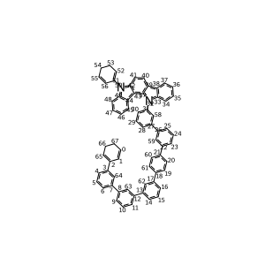 C1=CC(c2cccc(-c3cccc(-c4cccc(-c5ccc(-c6cccc(-c7cccc(-n8c9ccccc9c9ccc%10c(c%11ccccc%11n%10C%10=CCCC=C%10)c98)c7)c6)cc5)c4)c3)c2)=CCC1